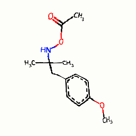 COc1ccc(CC(C)(C)NOC(C)=O)cc1